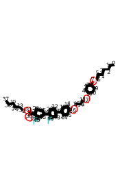 CCCCCCCOC1CCC(OCCCOc2ccc(-c3ccc(-c4ccc(C(=O)OCCCCCC)c(F)c4)c(F)c3)cc2)CC1